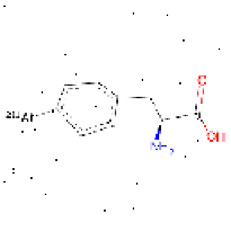 N[C@@H](Cc1ccc([211At])cc1)C(=O)O